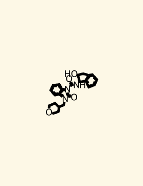 O=C(N[C@H]1c2ccccc2C[C@H]1O)n1c(=O)n(CC2CCOCC2)c2ccccc21